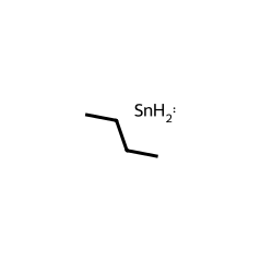 CCCC.[SnH2]